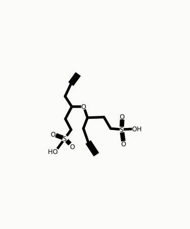 C#CCC(CCS(=O)(=O)O)OC(CC#C)CCS(=O)(=O)O